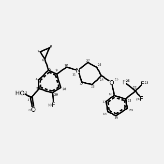 O=C(O)c1cc(C2CC2)c(CN2CCC(Oc3ccccc3C(F)(F)F)CC2)cc1F